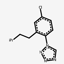 CC(C)CCc1cc(Cl)ccc1-n1cnnn1